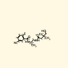 CCC(C)(CO)CC(=O)NC[C@H](C)NC(=O)c1cc(C#N)ccc1F